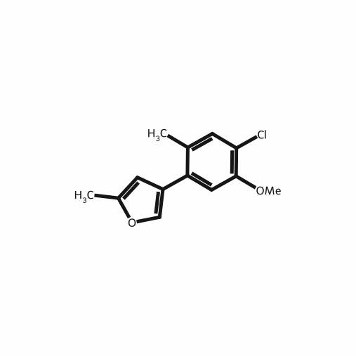 COc1cc(-c2coc(C)c2)c(C)cc1Cl